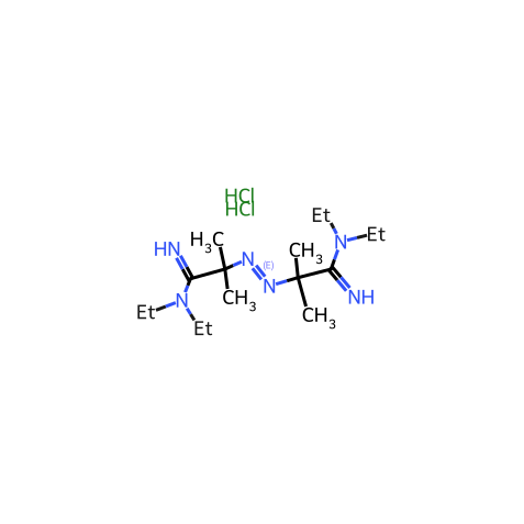 CCN(CC)C(=N)C(C)(C)/N=N/C(C)(C)C(=N)N(CC)CC.Cl.Cl